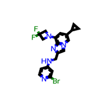 FC1(F)CN(c2cc(C3CC3)cn3cc(CNc4ccnc(Br)c4)nc23)C1